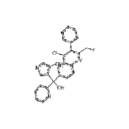 Cn1cncc1C(O)(c1ccc2nc(CF)c(-c3ccccc3)c(Cl)c2c1)c1ccccn1